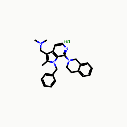 Cc1c(CN(C)C)c2ccnc(N3CCc4ccccc4C3)c2n1Cc1ccccc1.Cl